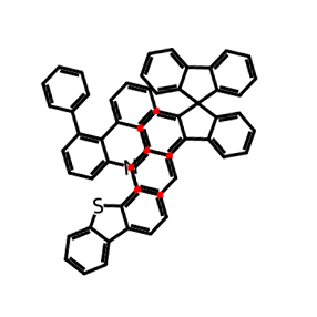 c1ccc(-c2ccccc2-c2c(-c3ccccc3)cccc2N(c2ccc3c(c2)-c2ccccc2C32c3ccccc3-c3ccccc32)c2cccc3c2sc2ccccc23)cc1